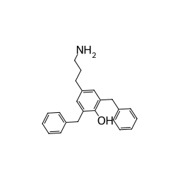 NCCCc1cc(Cc2ccccc2)c(O)c(Cc2ccccc2)c1